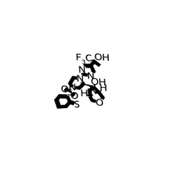 C[C@](O)(c1cnc(N2CCN(S(=O)(=O)C3=CC=CCC3=S)C[C@@H]2CN2[C@H]3COC[C@@H]2[C@H](O)C3)nc1)C(F)(F)F